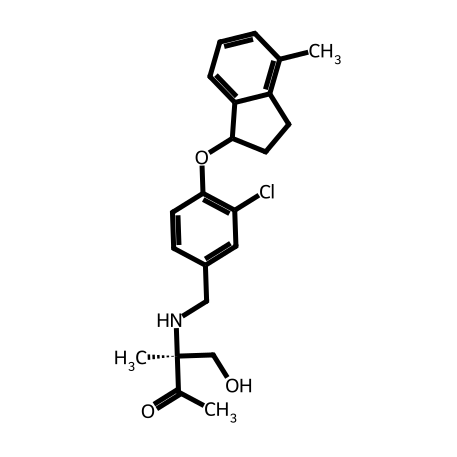 CC(=O)[C@](C)(CO)NCc1ccc(OC2CCc3c(C)cccc32)c(Cl)c1